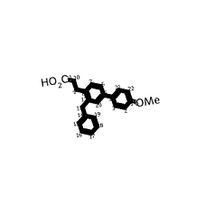 COc1ccc(-c2ccc(CCC(=O)O)c(Cc3ccccc3)c2)cc1